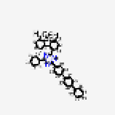 C[Si]1(C)c2ccccc2-c2c(-c3nc(-c4ccccc4)nc(-c4ccc(-c5ccc(-c6ccccc6)cc5)cc4)n3)cccc21